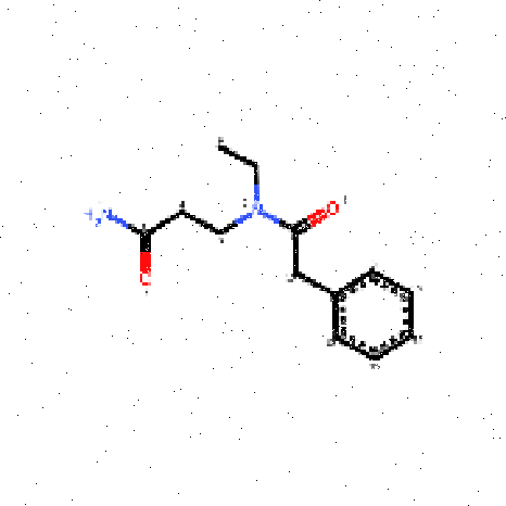 CCN(CCC(N)=O)C(=O)[CH]c1ccccc1